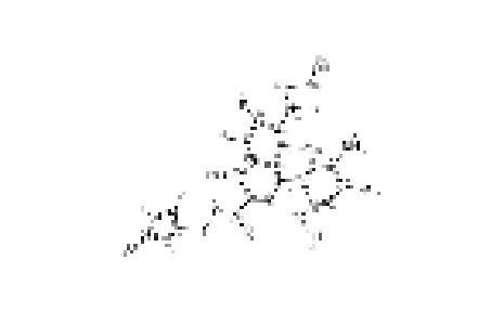 Cc1oc(=O)oc1COC(=O)c1cn(-c2cc(N)c(F)cc2CO)c2c(Cl)c(N3CC(O)C3)c(F)c(C)c2c1=O